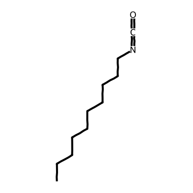 CCCCCCCCCCN=C=O